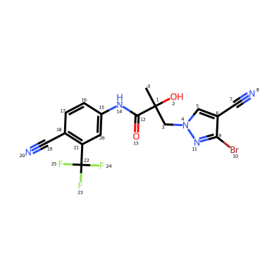 CC(O)(Cn1cc(C#N)c(Br)n1)C(=O)Nc1ccc(C#N)c(C(F)(F)F)c1